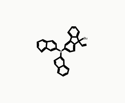 C=CC1(C(C)CC)c2ccccc2-c2cc(N(c3ccc4ccccc4c3)c3ccc4ccccc4c3)ccc21